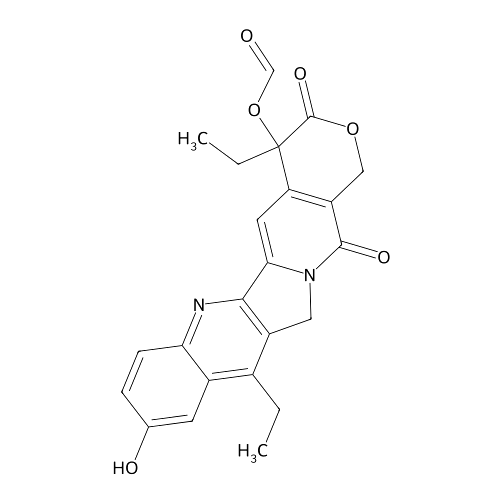 CCc1c2c(nc3ccc(O)cc13)-c1cc3c(c(=O)n1C2)COC(=O)C3(CC)OC=O